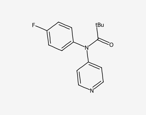 CC(C)(C)C(=O)N(c1ccncc1)c1ccc(F)cc1